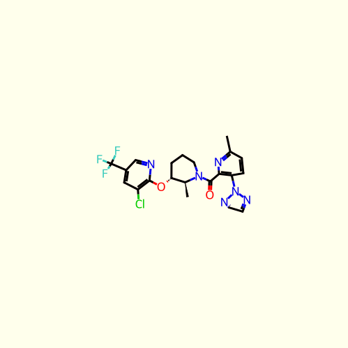 Cc1ccc(-n2nccn2)c(C(=O)N2CCC[C@@H](Oc3ncc(C(F)(F)F)cc3Cl)[C@@H]2C)n1